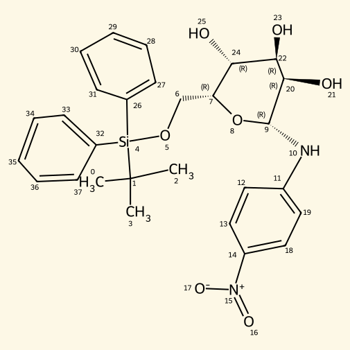 CC(C)(C)[Si](OC[C@H]1O[C@@H](Nc2ccc([N+](=O)[O-])cc2)[C@H](O)[C@H](O)[C@H]1O)(c1ccccc1)c1ccccc1